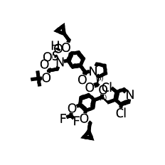 CC(C)(C)OC(=O)CN(c1cc(C(=O)N2CCC[C@H]2C(=O)O[C@@H](Cc2c(Cl)cncc2Cl)c2ccc(OC(F)F)c(OCC3CC3)c2)ccc1OCC1CC1)[SH](=O)=O